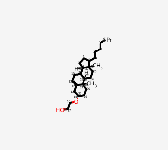 CC(C)CCCCC1CC[C@H]2C3CC=C4C[C@@H](OCCO)CCC4(C)[C@H]3CCC12C